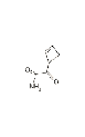 NC(=O)C(=O)C1C=CC1